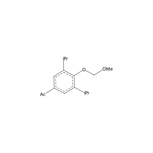 COCOc1c(C(C)C)cc(C(C)=O)cc1C(C)C